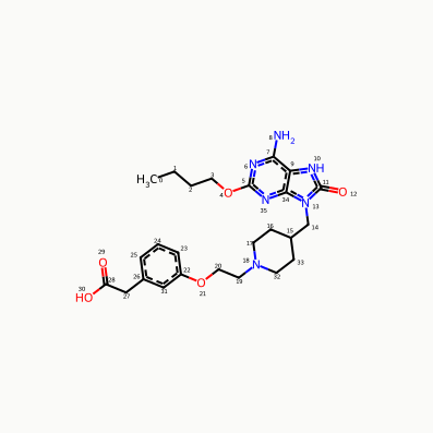 CCCCOc1nc(N)c2[nH]c(=O)n(CC3CCN(CCOc4cccc(CC(=O)O)c4)CC3)c2n1